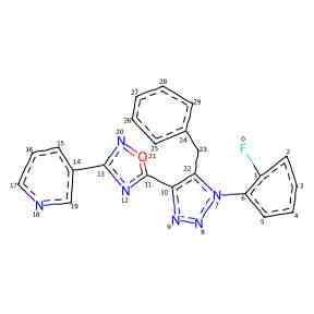 Fc1ccccc1-n1nnc(-c2nc(-c3cccnc3)no2)c1Cc1ccccc1